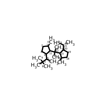 CC1CCC(C(C)C(C)(C)C)C1C(C)(C)C1C(C)CCC1[C@@H](C)S